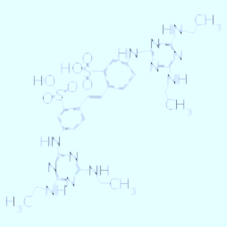 CCNc1nc(NCC)nc(Nc2ccc(C=Cc3ccc(Nc4nc(NCC)nc(NCC)n4)cc3S(=O)(=O)O)c(S(=O)(=O)O)c2)n1